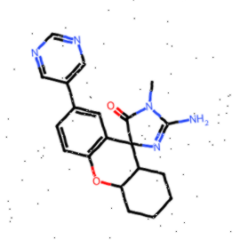 CN1C(=O)C2(N=C1N)c1cc(-c3cncnc3)ccc1OC1CCCCC12